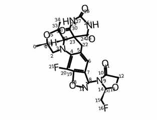 C[C@@H]1CN2c3c(cc4c(N5C(=O)CO[C@H]5CF)noc4c3F)CC3(C(=O)NC(=O)NC3=O)[C@H]2[C@H](C)O1